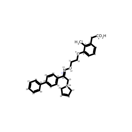 Cc1c(CC(=O)O)cccc1OCCO/N=C(\CN1CC=CC1)c1ccc(-c2ccccc2)cc1